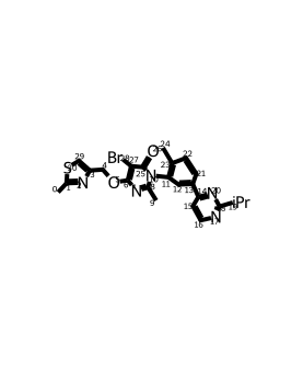 Cc1nc(COc2nc(C)n(-c3cc(-c4ccnc(C(C)C)n4)ccc3C)c(=O)c2Br)cs1